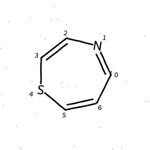 [C]1=NC=CSC=C1